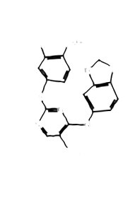 COc1ccc(Nc2ncc(C)c(Nc3ccc4c(c3)NCO4)n2)cc1Cl